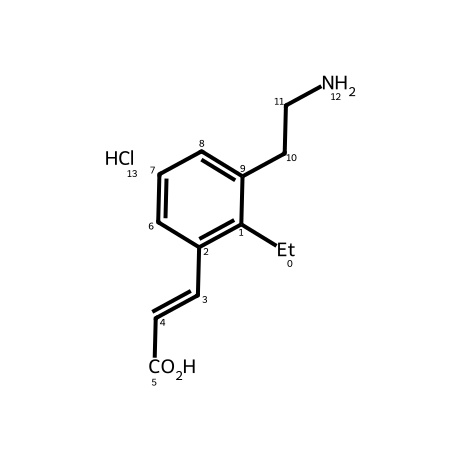 CCc1c(/C=C/C(=O)O)cccc1CCN.Cl